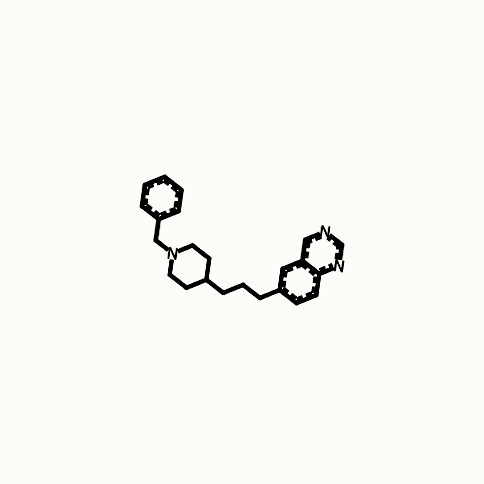 c1ccc(CN2CCC(CCCc3ccc4ncncc4c3)CC2)cc1